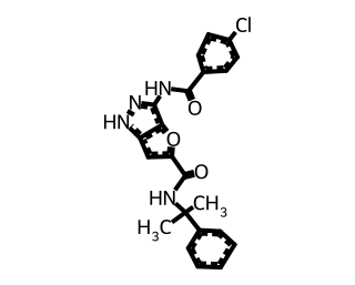 CC(C)(NC(=O)c1cc2[nH]nc(NC(=O)c3ccc(Cl)cc3)c2o1)c1ccccc1